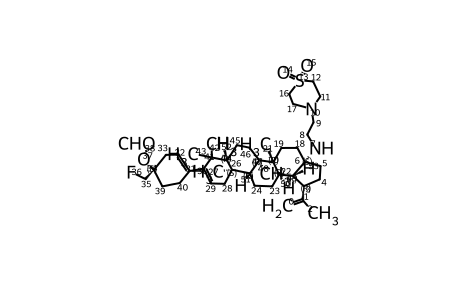 C=C(C)[C@@H]1CC[C@]2(NCCN3CCS(=O)(=O)CC3)CC[C@]3(C)[C@H](CC[C@@H]4[C@@]5(C)CC=C(C6=CC[C@@](CF)(OC=O)CC6)C(C)(C)[C@@H]5CC[C@]43C)[C@@H]12